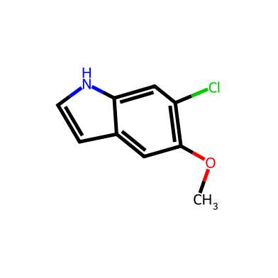 COc1cc2cc[nH]c2cc1Cl